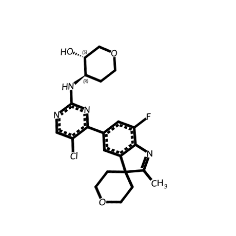 CC1=Nc2c(F)cc(-c3nc(N[C@@H]4CCOC[C@H]4O)ncc3Cl)cc2C12CCOCC2